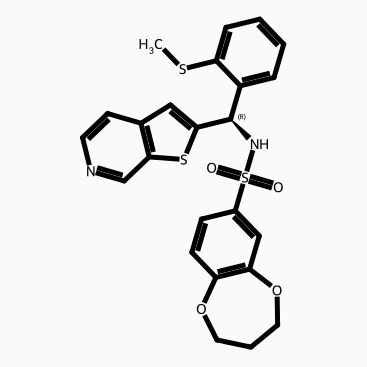 CSc1ccccc1[C@@H](NS(=O)(=O)c1ccc2c(c1)OCCCO2)c1cc2ccncc2s1